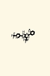 COc1ccccc1-c1nc(C(F)(F)F)c2nc(-c3ccc(C(F)(F)F)nc3)[nH]c2n1